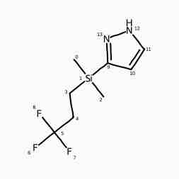 C[Si](C)(CCC(F)(F)F)c1cc[nH]n1